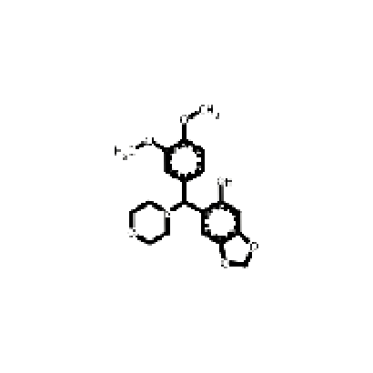 COc1ccc(C(c2cc3c(cc2O)OCO3)N2CCOCC2)cc1OC